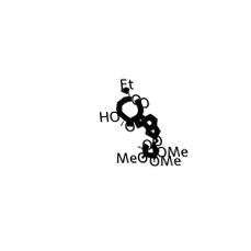 CC/C=C/[C@H]1CCC[C@H](O)[C@@H](C)C(=O)C2=CC3C(C=CC4C[C@@H](O[C@@H]5O[C@@H](C)[C@H](OC)[C@@H](OC)[C@H]5OC)CC43)C2CC(=O)O1